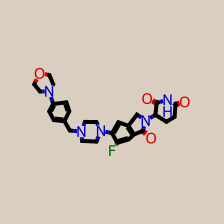 O=C1CCC(N2Cc3cc(N4CCN(Cc5ccc(N6CCOCC6)cc5)CC4)c(F)cc3C2=O)C(=O)N1